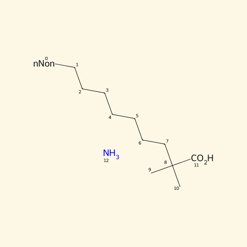 CCCCCCCCCCCCCCCCC(C)(C)C(=O)O.N